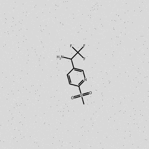 CS(=O)(=O)c1ccc(C(N)C(F)(F)F)cn1